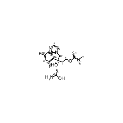 CN(C)C(=S)OCC[C@](O)(Cn1cncn1)c1ccc(F)cc1F.NC(O)=S